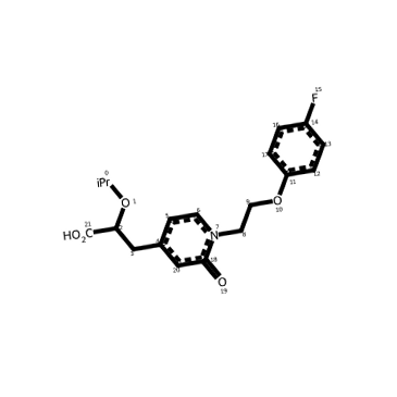 CC(C)OC(Cc1ccn(CCOc2ccc(F)cc2)c(=O)c1)C(=O)O